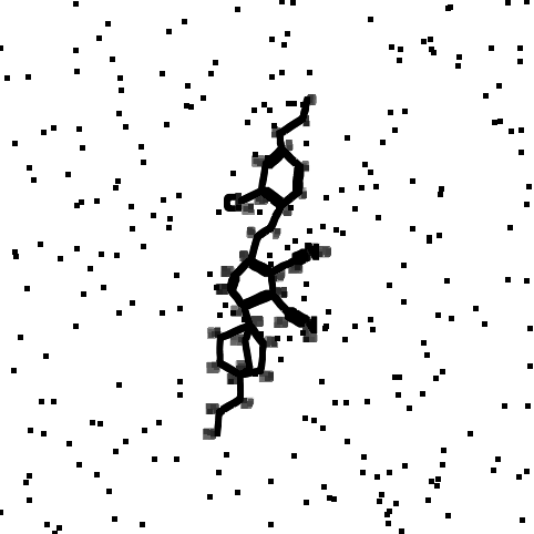 CCCc1ccc(CCc2ccc(C34CCC(CCC)(CC3)CC4)c(C#N)c2C#N)c(Cl)c1